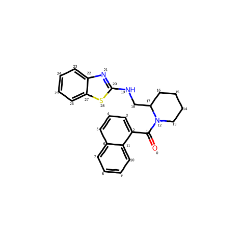 O=C(c1cccc2ccccc12)N1CCCCC1CNc1nc2ccccc2s1